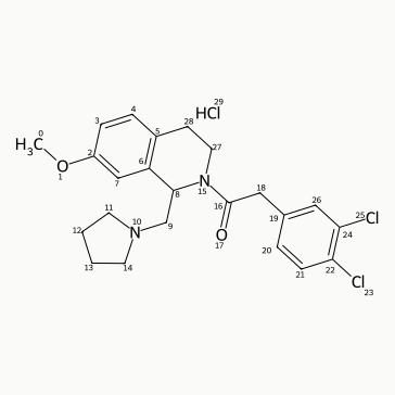 COc1ccc2c(c1)C(CN1CCCC1)N(C(=O)Cc1ccc(Cl)c(Cl)c1)CC2.Cl